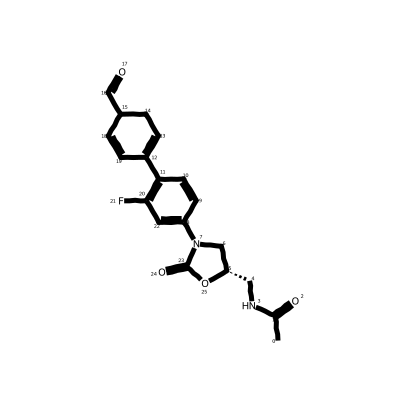 CC(=O)NC[C@H]1CN(c2ccc(C3=CCC(C=O)C=C3)c(F)c2)C(=O)O1